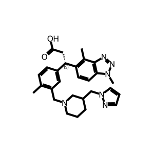 Cc1ccc([C@H](CC(=O)O)c2ccc3c(nnn3C)c2C)cc1CN1CCCC(Cn2cccn2)C1